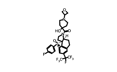 O=C(N1CC[C@]2(S(=O)(=O)c3ccc(F)cc3)c3ccc(C(F)(C(F)(F)F)C(F)(F)F)cc3CC[C@H]12)C1(O)CCN(C2COC2)CC1